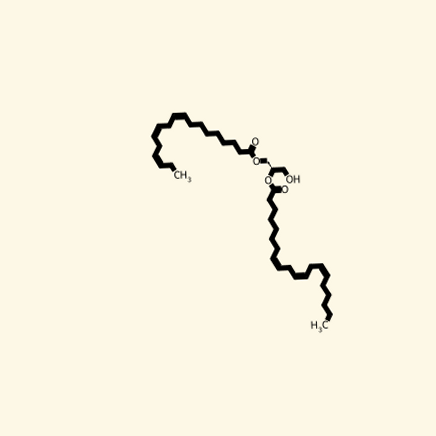 CC/C=C\C/C=C\C/C=C\CCCCCCCC(=O)OC[C@H](CO)OC(=O)CCCCCC/C=C\C/C=C\C/C=C\CCCCC